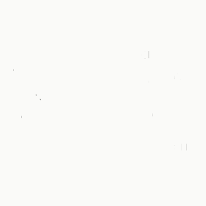 CCOP(=O)(Cl)c1ccc([N+](=O)[O-])cc1